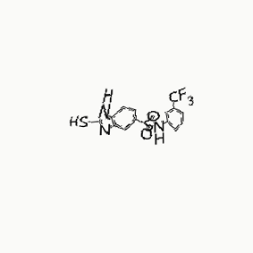 O=S(=O)(Nc1cccc(C(F)(F)F)c1)c1ccc2[nH]c(S)nc2c1